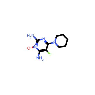 Nc1nc(N2CCCCC2)c(F)c(N)[n+]1[O-]